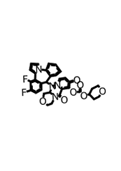 O=C(Oc1c2n(ccc1=O)N(C1c3ccccc3-n3cccc3-c3c1ccc(F)c3F)C1COCCN1C2=O)OC1CCOCC1